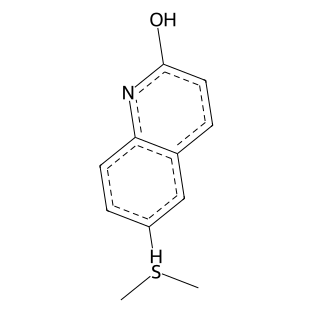 C[SH](C)c1ccc2nc(O)ccc2c1